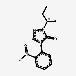 CC[C@@H](C)n1ncn(-c2ccccc2[N+](=O)[O-])c1=O